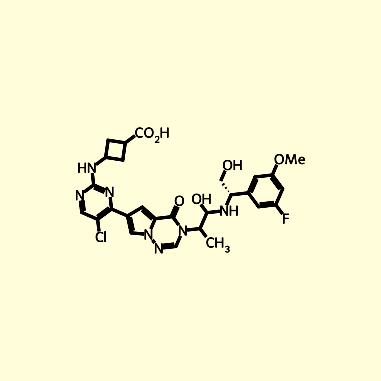 COc1cc(F)cc([C@@H](CO)NC(O)C(C)n2cnn3cc(-c4nc(NC5CC(C(=O)O)C5)ncc4Cl)cc3c2=O)c1